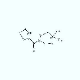 O=C(C1CCCN1)N1CCC(F)(F)CC1